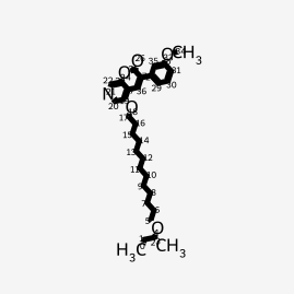 CCC(C)OCCCCCCCCCCCCCOc1cncc2oc(=O)c(-c3cccc(OC)c3)cc12